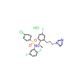 C[C@H](c1ccc(F)cc1CCCn1ccnc1)N(c1cc(F)ccc1F)S(=O)(=O)c1ccc(Cl)cc1.Cl